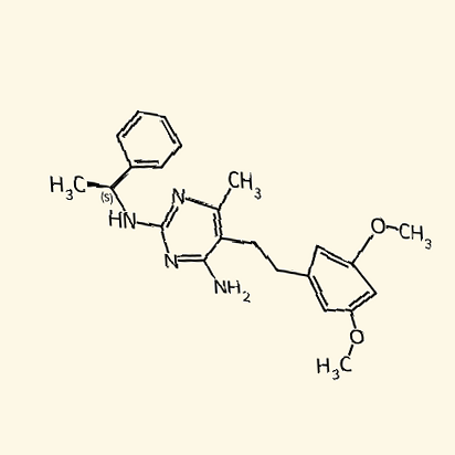 COc1cc(CCc2c(C)nc(N[C@@H](C)c3ccccc3)nc2N)cc(OC)c1